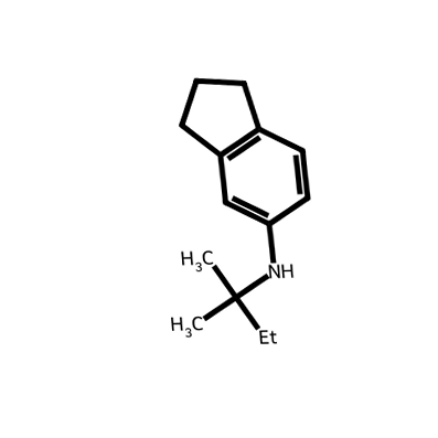 CCC(C)(C)Nc1ccc2c(c1)CCC2